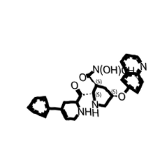 CN(O)C(=O)[C@H]1C[C@H](Oc2ccc3ncccc3c2)CN[C@@H]1C(=O)C1CC(c2ccccc2)=CCN1